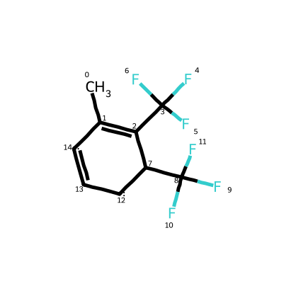 CC1=C(C(F)(F)F)C(C(F)(F)F)[C]C=[C]1